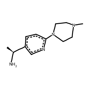 C[C@H](N)c1ccc(N2CCN(C)CC2)nc1